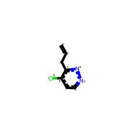 C=CCc1nnccc1Cl